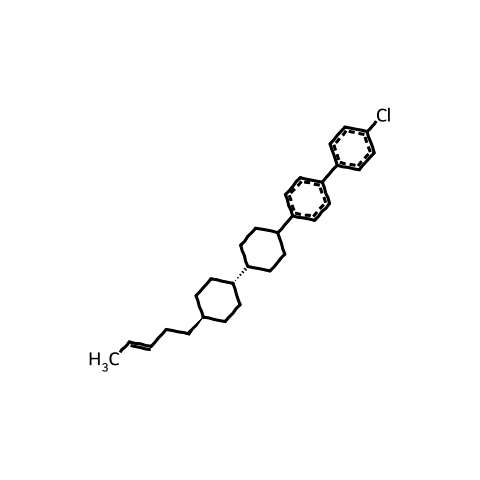 C/C=C/CC[C@H]1CC[C@H](C2CCC(c3ccc(-c4ccc(Cl)cc4)cc3)CC2)CC1